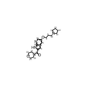 O=C(c1cc2cc(OCCCN3CCCC3)cnc2[nH]1)N1CCOCC1